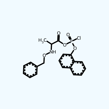 CC(NOCc1ccccc1)C(=O)OP(=O)(Cl)Oc1cccc2ccccc12